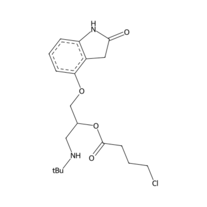 CC(C)(C)NCC(COc1cccc2c1CC(=O)N2)OC(=O)CCCCl